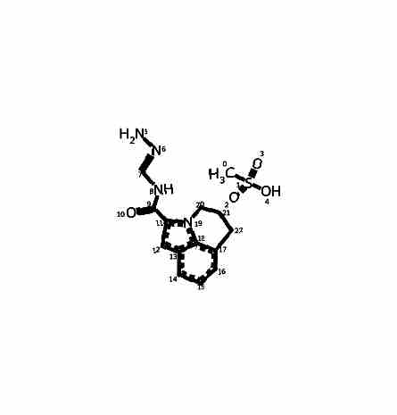 CS(=O)(=O)O.NN=CNC(=O)c1cc2cccc3c2n1CCC3